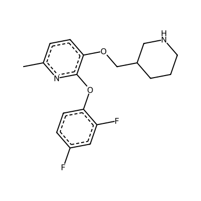 Cc1ccc(OCC2CCCNC2)c(Oc2ccc(F)cc2F)n1